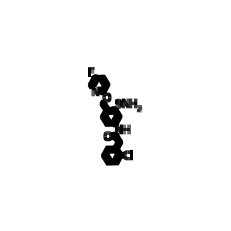 NSc1cc(NC(=O)Cc2ccccc2Cl)ccc1COc1ccc(F)cn1